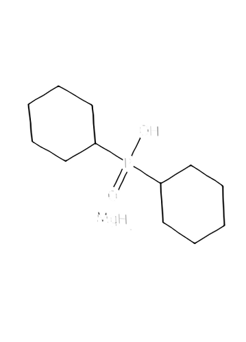 O=P(O)(C1CCCCC1)C1CCCCC1.[MgH2]